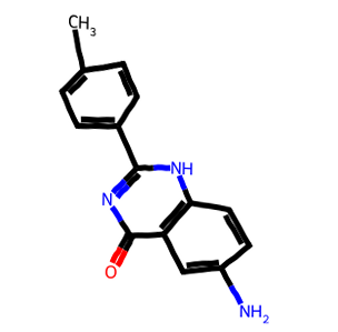 Cc1ccc(-c2nc(=O)c3cc(N)ccc3[nH]2)cc1